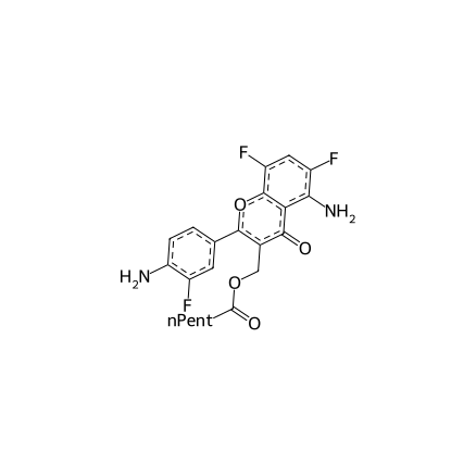 CCCCCC(=O)OCc1c(-c2ccc(N)c(F)c2)oc2c(F)cc(F)c(N)c2c1=O